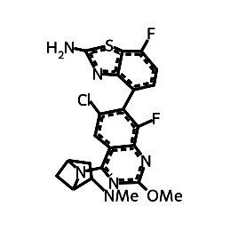 CNC1CC2CC1N2c1nc(OC)nc2c(F)c(-c3ccc(F)c4sc(N)nc34)c(Cl)cc12